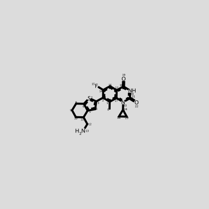 Cc1c(-c2cc3c(s2)CCCC3CN)c(F)cc2c(=O)[nH]c(=O)n(C3CC3)c12